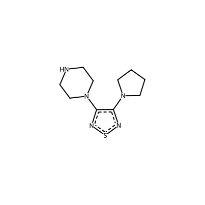 C1CCN(c2nsnc2N2CCNCC2)C1